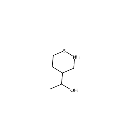 CC(O)C1CCSNC1